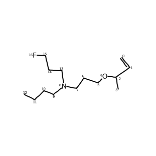 C=CC(C)OCCCN(CCCC)CCCF